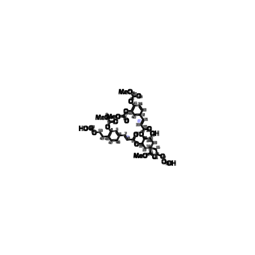 COC(=O)Oc1cc(/C=C/C(=O)O[C@@H]2C[C@@](CCOOO)(C(=O)OC)C[C@@H](O)[C@@H]2OC(=O)/C=C/c2ccc(OC(=O)OC)c(OC(=O)OC)c2)ccc1CCOOO